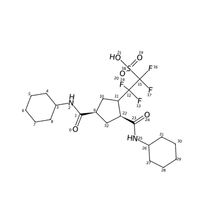 O=C(NC1CCCCC1)[C@H]1CC(C(F)(F)C(F)(F)S(=O)(=O)O)[C@@H](C(=O)NC2CCCCC2)C1